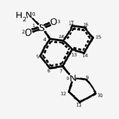 NS(=O)(=O)c1ccc(N2CCCC2)c2ccccc12